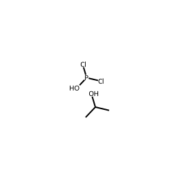 CC(C)O.OP(Cl)Cl